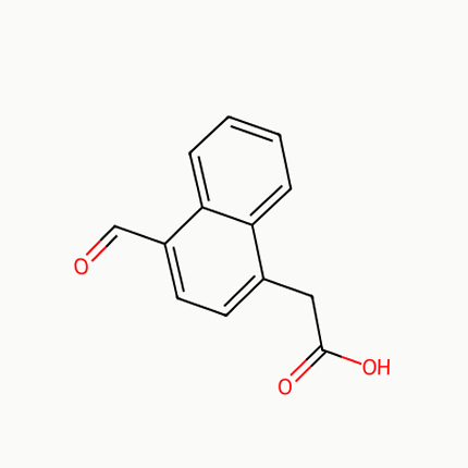 O=Cc1ccc(CC(=O)O)c2ccccc12